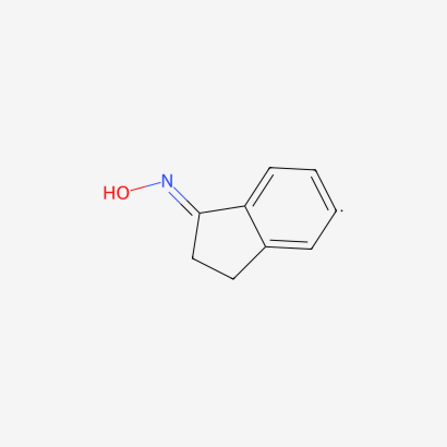 ON=C1CCc2c[c]ccc21